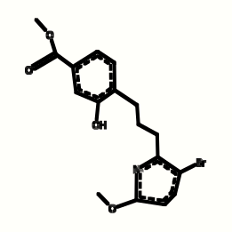 COC(=O)c1ccc(CCCc2nc(OC)ccc2Br)c(O)c1